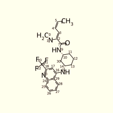 C=N/C(=C\C=C/C)C(=O)N[C@@H]1CCC[C@H](Nc2cc(C(F)(F)F)nc3ccccc23)C1